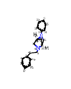 c1ccc(CCN2C[C@@H]3C[C@H]2CN3c2ccccc2)cc1